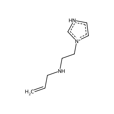 C=CCNCC[n+]1cc[nH]c1